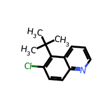 CC(C)(C)c1c(Cl)ccc2ncccc12